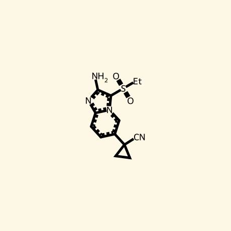 CCS(=O)(=O)c1c(N)nc2ccc(C3(C#N)CC3)cn12